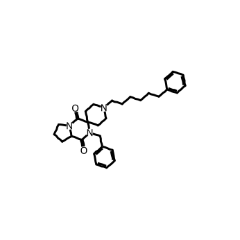 O=C1C2CCCN2C(=O)C2(CCN(CCCCCCc3ccccc3)CC2)N1Cc1ccccc1